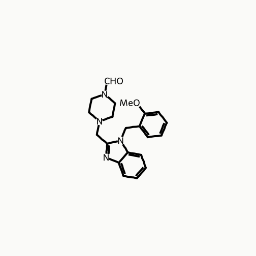 COc1ccccc1Cn1c(CN2CCN(C=O)CC2)nc2ccccc21